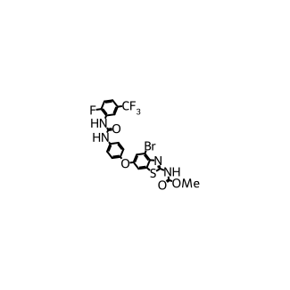 COC(=O)Nc1nc2c(Br)cc(Oc3ccc(NC(=O)Nc4cc(C(F)(F)F)ccc4F)cc3)cc2s1